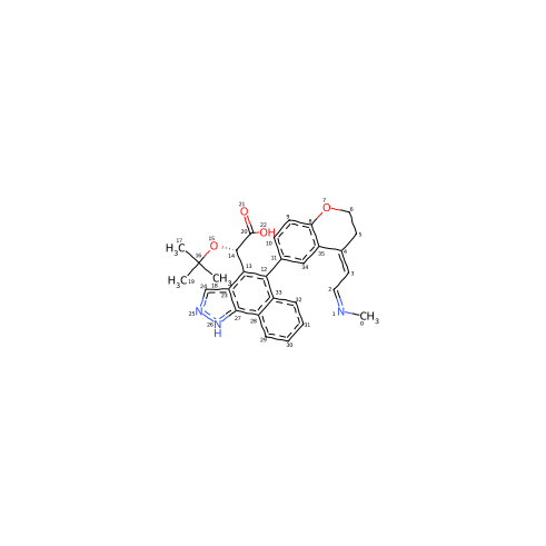 C/N=C\C=C1\CCOc2ccc(-c3c([C@H](OC(C)(C)C)C(=O)O)c4cn[nH]c4c4ccccc34)cc21